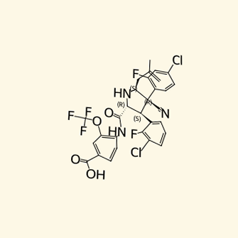 C=C(C)C[C@@H]1N[C@@H](C(=O)Nc2ccc(C(=O)O)cc2OC(F)(F)F)[C@H](c2cccc(Cl)c2F)[C@@]1(C#N)c1ccc(Cl)cc1F